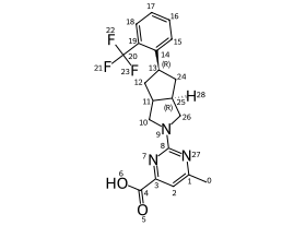 Cc1cc(C(=O)O)nc(N2CC3C[C@@H](c4ccccc4C(F)(F)F)C[C@H]3C2)n1